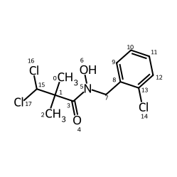 CC(C)(C(=O)N(O)Cc1ccccc1Cl)C(Cl)Cl